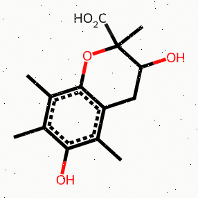 Cc1c(C)c2c(c(C)c1O)CC(O)C(C)(C(=O)O)O2